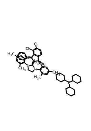 C1CCC(P(C2CCCCC2)C2CCCCC2)CC1.Cc1cc(C)c(N2CCN(c3c(C)cc(C)cc3C)C2=C2[C](=[Ru])c3ccc(Cl)c(Cl)c3C2c2ccccc2)c(C)c1